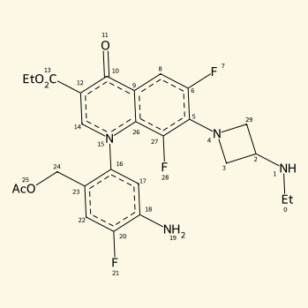 CCNC1CN(c2c(F)cc3c(=O)c(C(=O)OCC)cn(-c4cc(N)c(F)cc4COC(C)=O)c3c2F)C1